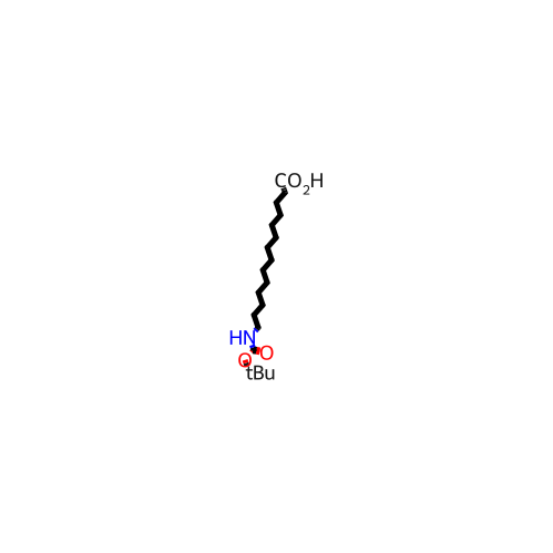 CC(C)(C)OC(=O)NCCCCCCCCCCCCCC(=O)O